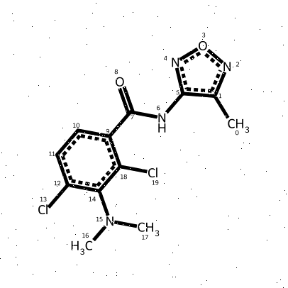 Cc1nonc1NC(=O)c1ccc(Cl)c(N(C)C)c1Cl